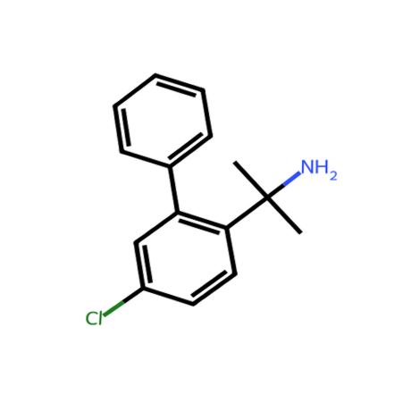 CC(C)(N)c1ccc(Cl)cc1-c1ccccc1